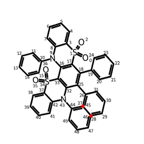 O=S1(=O)c2ccccc2N(c2ccccc2)c2c1c(-c1ccccc1)c(-c1ccccc1)c1c2S(=O)(=O)c2ccccc2N1c1ccccc1